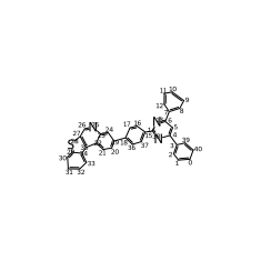 c1ccc(-c2cc(-c3ccccc3)nc(-c3ccc(-c4ccc5c(c4)ncc4sc6ccccc6c45)cc3)n2)cc1